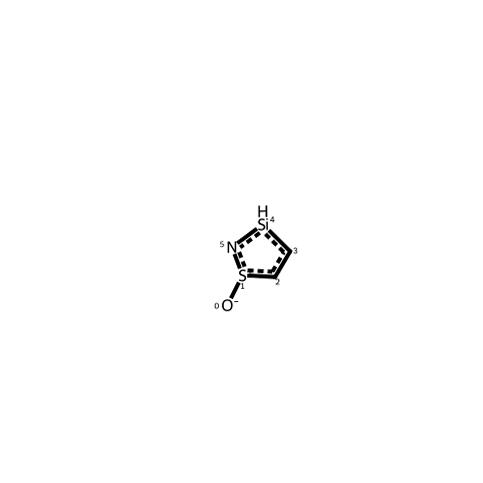 [O-][s+]1cc[siH]n1